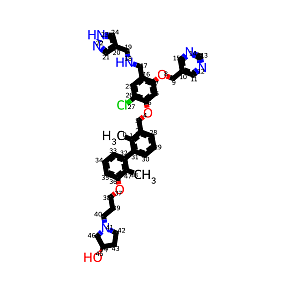 Cc1c(COc2cc(OCc3cncnc3)c(CNCc3cn[nH]c3)cc2Cl)cccc1-c1cccc(OCCCN2CC[C@@H](O)C2)c1C